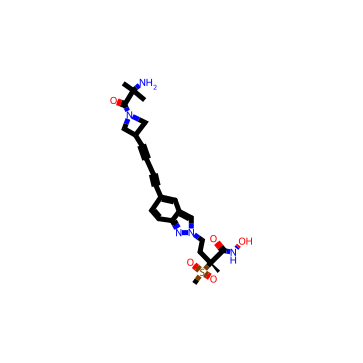 CC(C)(N)C(=O)N1CC(C#CC#Cc2ccc3nn(CC[C@](C)(C(=O)NO)S(C)(=O)=O)cc3c2)C1